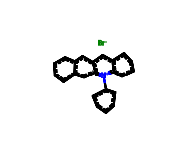 [Br-].c1ccc(-[n+]2c3ccccc3cc3cc4ccccc4cc32)cc1